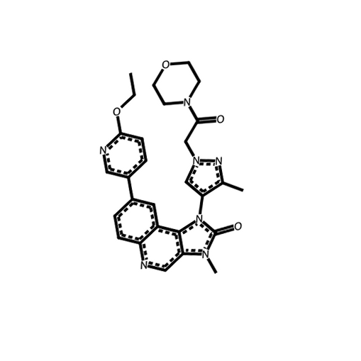 CCOc1ccc(-c2ccc3ncc4c(c3c2)n(-c2cn(CC(=O)N3CCOCC3)nc2C)c(=O)n4C)cn1